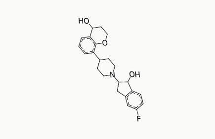 OC1CCOc2c1cccc2C1CCN(C2Cc3cc(F)ccc3C2O)CC1